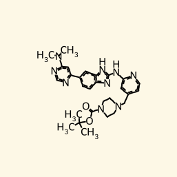 CN(C)c1cc(-c2ccc3nc(Nc4cc(CN5CCN(C(=O)OC(C)(C)C)CC5)ccn4)[nH]c3c2)ncn1